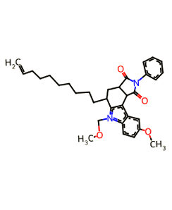 C=CCCCCCCCCC1CC2C(=O)N(c3ccccc3)C(=O)C2c2c1n(COC)c1ccc(OC)cc21